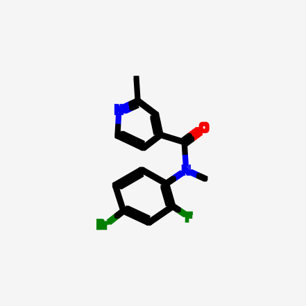 Cc1cc(C(=O)N(C)c2ccc(Br)cc2F)ccn1